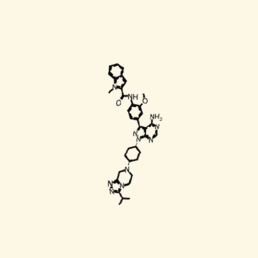 COc1cc(-c2nn([C@H]3CC[C@@H](N4CCn5c(nnc5C(C)C)C4)CC3)c3ncnc(N)c23)ccc1NC(=O)c1cc2ccccc2n1C